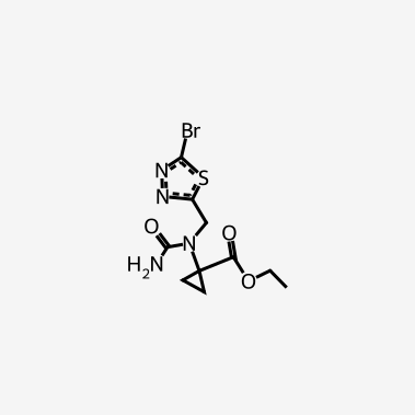 CCOC(=O)C1(N(Cc2nnc(Br)s2)C(N)=O)CC1